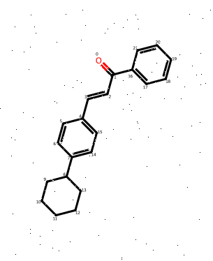 O=C(C=Cc1ccc(C2CCCCC2)cc1)c1ccccc1